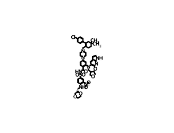 CC1(C)CCC(CN2CCN(c3ccc(C(=O)NS(=O)(=O)c4ccc(NC[C@H]5COCCO5)c([N+](=O)[O-])c4)c(N4CC5COCC5Oc5nc6[nH]ccc6cc54)c3)CC2)=C(c2ccc(Cl)cc2)C1